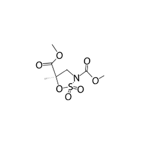 COC(=O)N1C[C@](C)(C(=O)OC)OS1(=O)=O